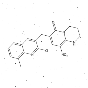 Cc1cccc2cc(Cc3cc([N+](=O)[O-])c4n(c3=O)CCCN4)c(Cl)nc12